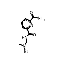 CCN(C)CNC(=O)c1cccc(C(N)=O)n1